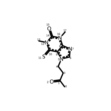 CC(=O)CCn1cnc2c1c(=S)n(C)c(=O)n2C